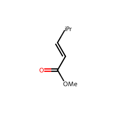 COC(=O)C=CC(C)C